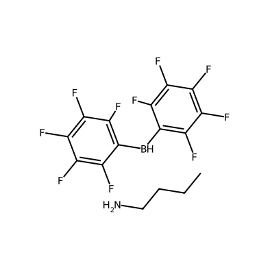 CCCCN.Fc1c(F)c(F)c(Bc2c(F)c(F)c(F)c(F)c2F)c(F)c1F